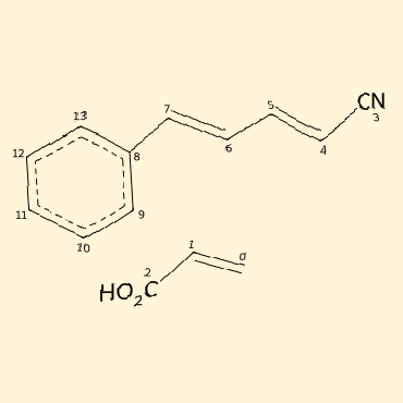 C=CC(=O)O.N#CC=CC=Cc1ccccc1